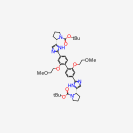 COCCOc1cc(-c2ncc([C@@H]3CCCN3C(=O)OC(C)(C)C)[nH]2)ccc1-c1ccc(-c2ncc([C@@H]3CCCN3C(=O)OC(C)(C)C)[nH]2)cc1OCCOC